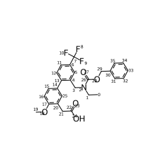 CCN(Cc1cc(C(F)(F)F)ccc1-c1ccc(OC)c(CC(=O)O)c1)C(=O)OCc1ccccc1